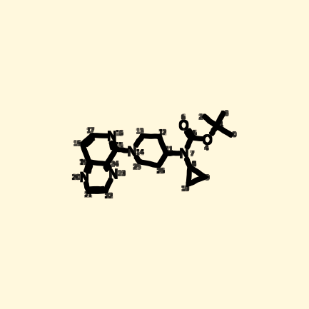 CC(C)(C)OC(=O)N(C1CC1)C1CCN(c2nccc3nccnc23)CC1